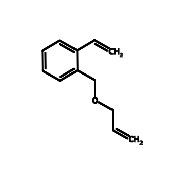 C=CCOCc1ccccc1C=C